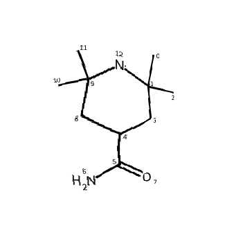 CC1(C)CC(C(N)=O)CC(C)(C)[N]1